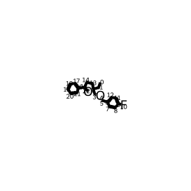 CCC1(COCc2ccc(F)cc2)CCC(c2ccccc2)O1